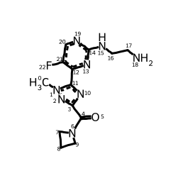 Cn1nc(C(=O)N2CCC2)nc1-c1nc(NCCN)ncc1F